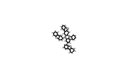 c1ccc2c(c1)B1c3cc4oc5ccccc5c4cc3N(c3ccc4oc5ccccc5c4c3)c3cc(-c4cccc5c4oc4ccccc45)cc-2c31